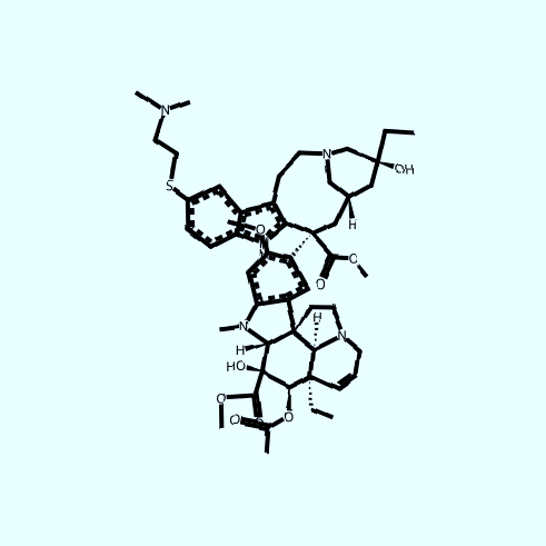 CC[C@]1(O)C[C@H]2CN(CCc3c([nH]c4ccc(SCCN(C)C)cc34)[C@@](C(=O)OC)(c3cc4c(cc3OC)N(C)[C@H]3[C@@](O)(C(=O)OC)[C@H](OC(C)=O)[C@]5(CC)C=CCN6CC[C@]43[C@@H]65)C2)C1